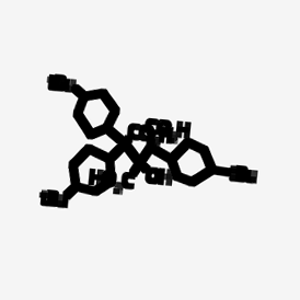 CC(C)(C)C1CCC(C(C(=O)O)C(O)(C(=O)O)C(C(=O)O)(C2CCC(C(C)(C)C)CC2)C2CCC(C(C)(C)C)CC2)CC1